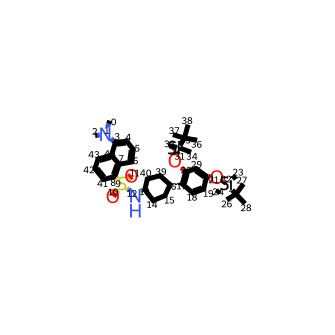 CN(C)c1cccc2c(S(=O)(=O)N[C@H]3CC[C@@H](c4ccc(O[Si](C)(C)C(C)(C)C)cc4O[Si](C)(C)C(C)(C)C)CC3)cccc12